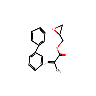 C=C(C)C(=O)OCC1CO1.c1ccc(-c2ccccc2)cc1